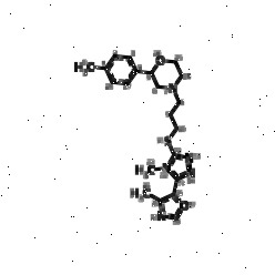 Cc1ccc(C2CN(CCCSc3nnc(-c4ocnc4C)n3C)CCO2)cc1